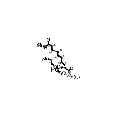 CCCCCCCCCCC[CH2][Na].CCCCOC(=O)CCCCCCCCC(=O)OCCCC.O=S(=O)(O)O